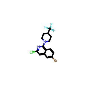 FC(F)(F)C1CCN(c2nc(Cl)cc3cc(Br)ccc23)CC1